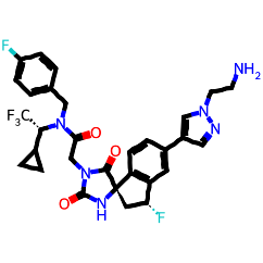 NCCn1cc(-c2ccc3c(c2)[C@H](F)C[C@]32NC(=O)N(CC(=O)N(Cc3ccc(F)cc3)[C@H](C3CC3)C(F)(F)F)C2=O)cn1